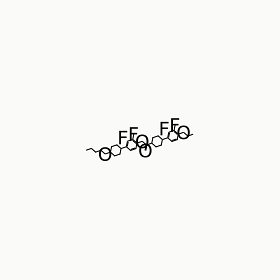 CCCCOC1CCC(c2ccc(OC(=O)C3CCC(c4ccc(OCC)c(F)c4F)CC3)c(F)c2F)CC1